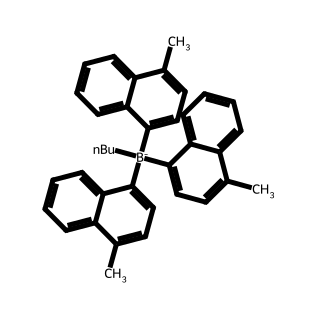 CCCC[B-](c1ccc(C)c2ccccc12)(c1ccc(C)c2ccccc12)c1ccc(C)c2ccccc12